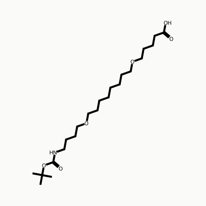 CC(C)(C)OC(=O)NCCCCOCCCCCCCCOCCCCC(=O)O